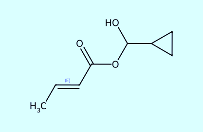 C/C=C/C(=O)OC(O)C1CC1